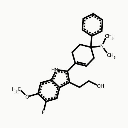 COc1cc2[nH]c(C3=CCC(c4ccccc4)(N(C)C)CC3)c(CCO)c2cc1F